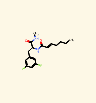 CCCC/C=C/C(=O)N[C@@H](Cc1cc(F)cc(F)c1)C(=O)NC